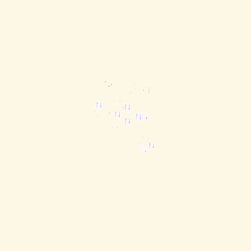 Cc1cncc(-n2c(=O)nc(Nc3ccc4nn(CC(F)F)cc4c3)n(Cc3cc(C#N)ccc3Cl)c2=O)c1